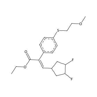 CCOC(=O)/C(=C/C1CC(F)C(F)C1)c1ccc(SCCOC)cc1